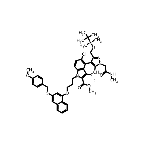 CNC(=O)Cn1nc(CO[Si](C)(C)C(C)(C)C)c(-c2c(Cl)ccc3c2c(C)c(C(=O)OC)n3CCCOc2cc(SCc3ccc(OC)cc3)cc3ccccc23)c1C